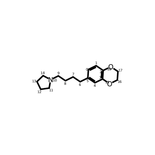 c1cc2c(cc1CCCCN1CCCC1)OCCO2